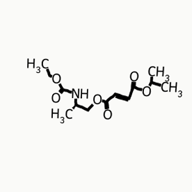 CCOC(=O)N[C@H](C)COC(=O)/C=C/C(=O)OC(C)C